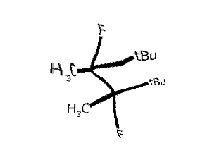 CC(C)(C)C(C)(F)C(C)(F)C(C)(C)C